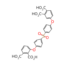 O=C(O)c1ccc(Oc2ccc(S(=O)(=O)c3ccc(Oc4cccc(C(=O)O)c4C(=O)O)cc3)cc2)cc1C(=O)O